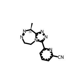 C[C@@H]1N=NCCn2c(-c3cccc(C#N)n3)nnc21